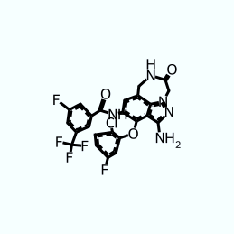 Nc1nn2c3c(cc(NC(=O)c4cc(F)cc(C(F)(F)F)c4)c(Oc4cc(F)ccc4Cl)c13)CNC(=O)C2